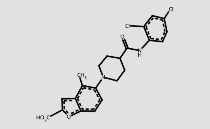 Cc1c(N2CCC(C(=O)Nc3ccc(Cl)cc3Cl)CC2)ccc2oc(C(=O)O)cc12